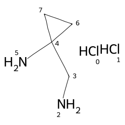 Cl.Cl.NCC1(N)CC1